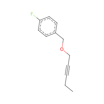 CCC#CCOCc1ccc(F)cc1